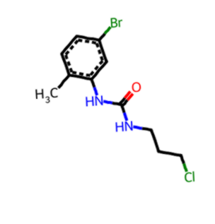 Cc1ccc(Br)cc1NC(=O)NCCCCl